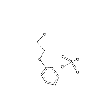 ClCCOc1ccccc1.O=S(=O)(Cl)Cl